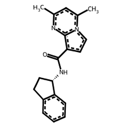 Cc1cc(C)n2ccc(C(=O)N[C@H]3CCc4ccccc43)c2n1